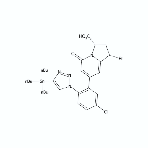 CCC[CH2][Sn]([CH2]CCC)([CH2]CCC)[c]1cn(-c2ccc(Cl)cc2-c2cc3n(c(=O)c2)[C@H](C(=O)O)CC3CC)nn1